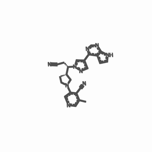 Cc1cncc(N2CC[C@H]([C@H](CC#N)n3cc(-c4ncnc5[nH]ccc45)cn3)C2)c1C#N